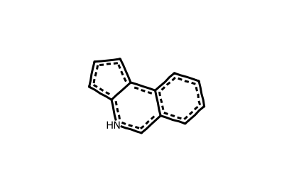 c1cc2[nH]cc3ccccc3c-2c1